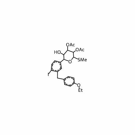 CCOc1ccc(Cc2cc(C3OC(SC)C(OC(C)=O)C(OC(C)=O)C3O)ccc2I)cc1